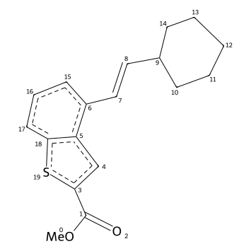 COC(=O)c1cc2c(/C=C/C3CCCCC3)cccc2s1